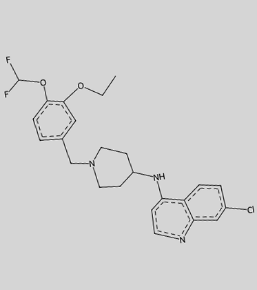 CCOc1cc(CN2CCC(Nc3ccnc4cc(Cl)ccc34)CC2)ccc1OC(F)F